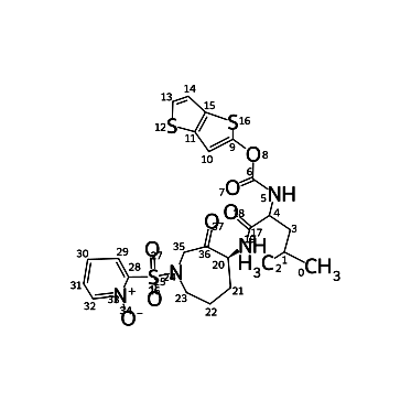 CC(C)CC(NC(=O)Oc1cc2sccc2s1)C(=O)N[C@H]1CCCN(S(=O)(=O)c2cccc[n+]2[O-])CC1=O